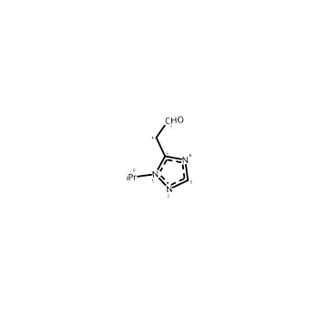 CC(C)n1ncnc1CC=O